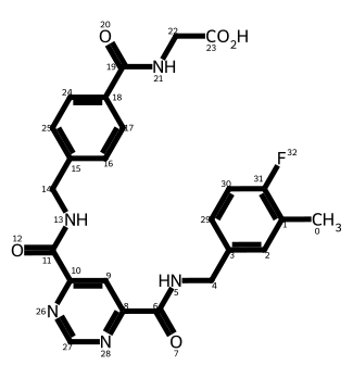 Cc1cc(CNC(=O)c2cc(C(=O)NCc3ccc(C(=O)NCC(=O)O)cc3)ncn2)ccc1F